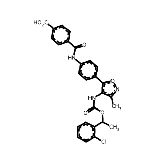 Cc1noc(-c2ccc(NC(=O)c3ccc(C(=O)O)cc3)cc2)c1NC(=O)OC(C)c1ccccc1Cl